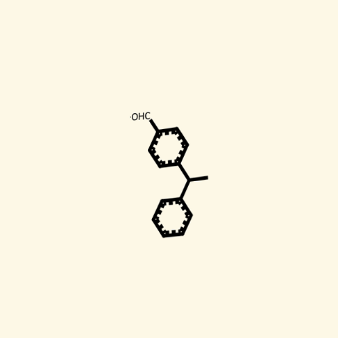 CC(c1ccccc1)c1ccc([C]=O)cc1